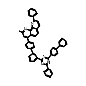 Cc1cc(-c2ccc(-c3cccc(-c4nc(-c5ccccc5)nc(-c5ccc(-c6ccccc6)cc5)n4)c3)cc2)c2ccc3ccc(-c4ccccc4)nc3c2n1